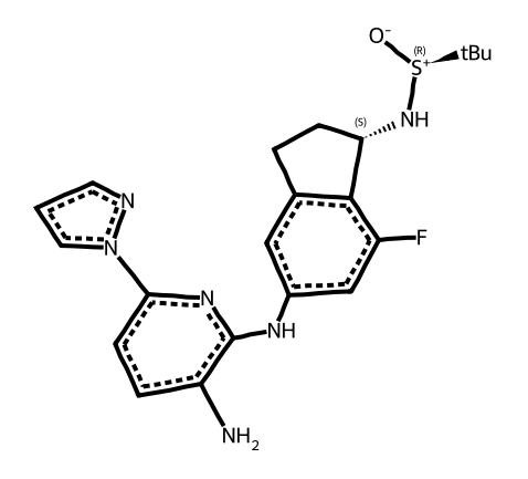 CC(C)(C)[S@+]([O-])N[C@H]1CCc2cc(Nc3nc(-n4cccn4)ccc3N)cc(F)c21